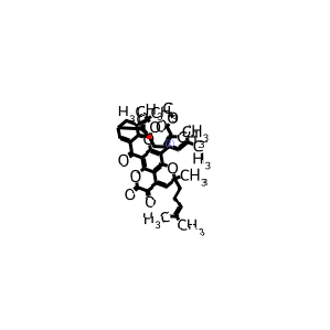 COC(=O)/C(C)=C\CC12OC(C)(C)C3CC(C=C4C(=O)c5c(c(CC=C(C)C)c6c7c5OC(=O)C(=O)C7=CC(C)(CCC=C(C)C)O6)OC431)C2=O